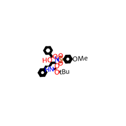 COc1ccc(S(=O)(=O)N(C[C@@H](O)[C@H](Cc2ccccc2)NC(=O)OC(C)(C)C)OCC2CCCCC2)cc1